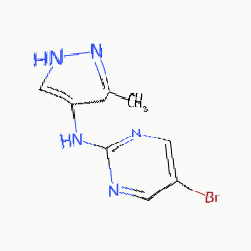 Cc1n[nH]cc1Nc1ncc(Br)cn1